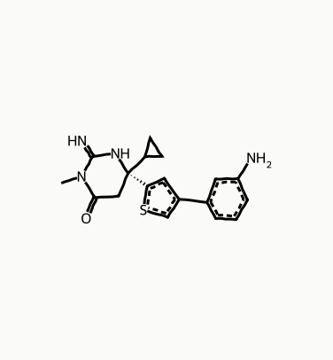 CN1C(=N)N[C@@](c2cc(-c3cccc(N)c3)cs2)(C2CC2)CC1=O